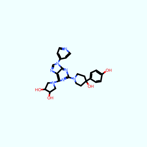 Oc1ccc(C2(O)CCN(c3nc(N4CC(O)C(O)C4)c4ncn(-c5ccncc5)c4n3)CC2)cc1